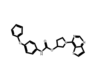 O=C(Nc1ccc(Oc2ccccc2)cc1)OC1CCN(c2ncnc3ccsc23)C1